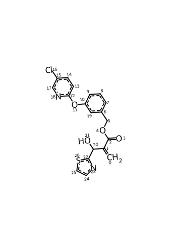 C=C(C(=O)OCc1cccc(Oc2ccc(Cl)cn2)c1)C(O)c1nccs1